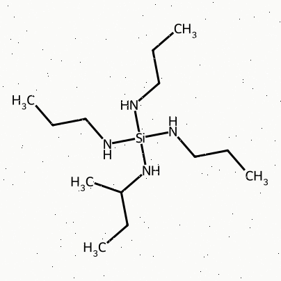 CCCN[Si](NCCC)(NCCC)NC(C)CC